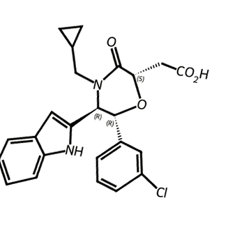 O=C(O)C[C@@H]1O[C@H](c2cccc(Cl)c2)[C@@H](c2cc3ccccc3[nH]2)N(CC2CC2)C1=O